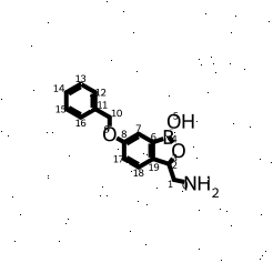 NCC1OB(O)c2cc(OCc3ccccc3)ccc21